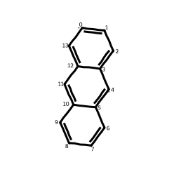 [c]1ccc2[c]c3ccccc3cc2c1